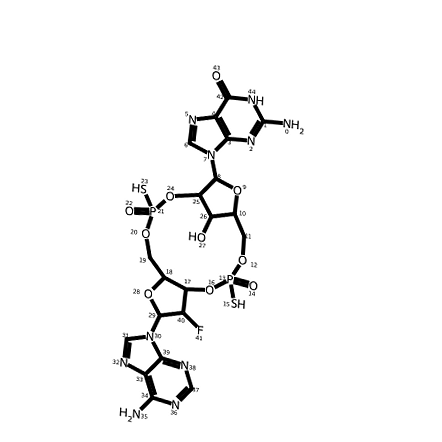 Nc1nc2c(ncn2C2OC3COP(=O)(S)OC4C(COP(=O)(S)OC2C3O)OC(n2cnc3c(N)ncnc32)C4F)c(=O)[nH]1